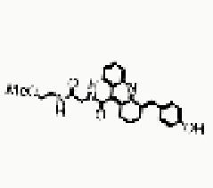 COCCNC(=O)CNC(=O)c1c2c(nc3ccccc13)C(=Cc1ccc(O)cc1)CCC2